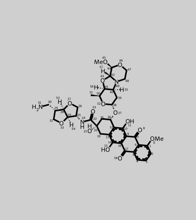 COc1cccc2c1C(=O)c1c(O)c3c(c(O)c1C2=O)C[C@@](O)(C(=O)N[C@H]1CO[C@@H]2[C@@H](CN)CO[C@@H]21)C[C@@H]3O[C@H]1C[C@H]2[C@H](O[C@@H]3[C@@H](OC)OCCN32)[C@H](C)O1